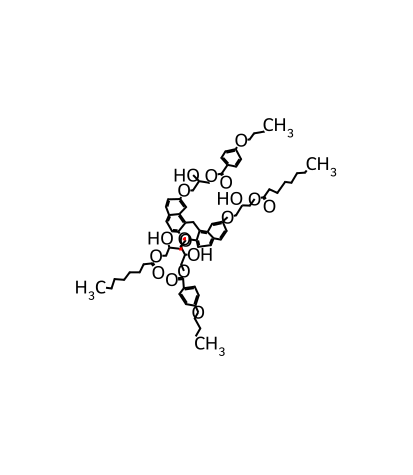 CCCCCCCC(=O)OCC(O)COc1ccc2ccc(OCC(O)COC(=O)CCCCCCC)c(Cc3c(OCC(O)COC(=O)c4ccc(OCCCC)cc4)ccc4ccc(OCC(O)COC(=O)c5ccc(OCCCC)cc5)cc34)c2c1